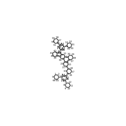 c1ccc(-c2nc(-c3ccccc3)nc(-c3cccc(-c4ccc5c(c4)c4ccccc4c4cc6c(cc54)c4ccccc4n6-c4nc(-c5ccccc5)nc(-c5ccccc5)n4)c3)n2)cc1